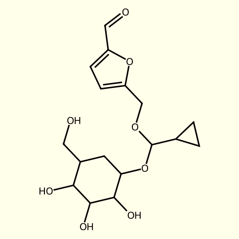 O=Cc1ccc(COC(OC2CC(CO)C(O)C(O)C2O)C2CC2)o1